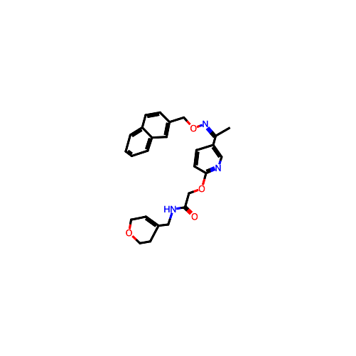 CC(=NOCc1ccc2ccccc2c1)c1ccc(OCC(=O)NCC2=CCOCC2)nc1